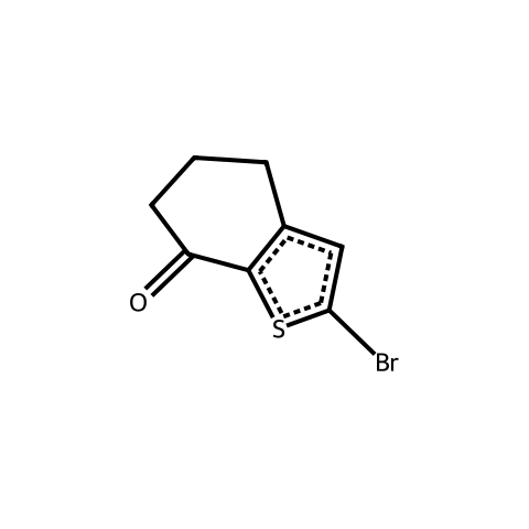 O=C1CCCc2cc(Br)sc21